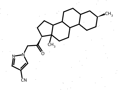 C[C@H]1CCC2C(CCC3C2CCC2(C)C3CC[C@@H]2C(=O)Cn2cc(C#N)cn2)C1